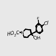 O=C(O)N1CCC(O)(c2ccc(Cl)c(F)c2)CC1